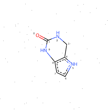 O=C1NCc2[nH]ccc2N1